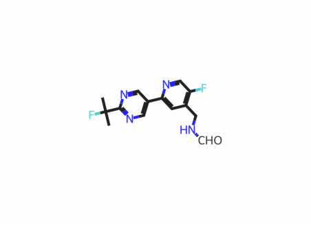 CC(C)(F)c1ncc(-c2cc(CNC=O)c(F)cn2)cn1